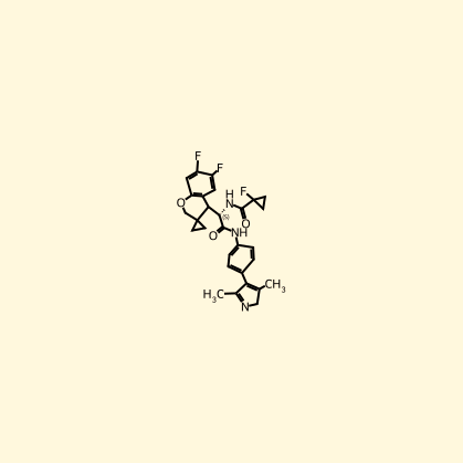 CC1=NCC(C)=C1c1ccc(NC(=O)[C@@H](NC(=O)C2(F)CC2)C2c3cc(F)c(F)cc3OCC23CC3)cc1